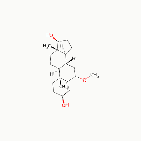 COC1C[C@H]2[C@@H]3CC[C@H](O)[C@@]3(C)CC[C@@H]2[C@@]2(C)CC[C@H](O)C=C12